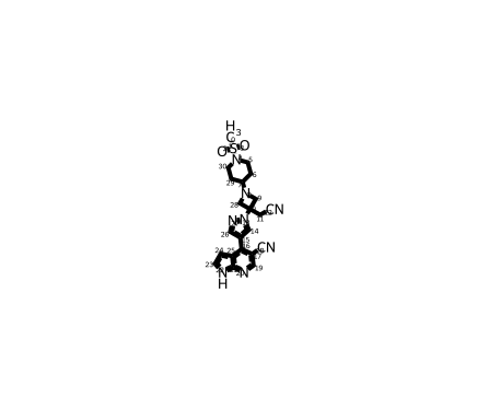 CS(=O)(=O)N1CCC(N2CC(CC#N)(n3cc(-c4c(C#N)cnc5[nH]ccc45)cn3)C2)CC1